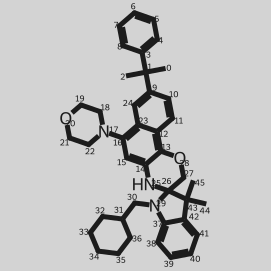 CC(C)(c1ccccc1)c1ccc2c3c(cc(N4CCOCC4)c2c1)NC1(CO3)N(CC2CCCCC2)c2ccccc2C1(C)C